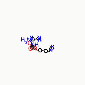 CN1CCN(Cc2ccc(-c3ccc(CO[C@@H]4COC[C@H]4NC(=O)c4cc(-c5cnn(C)c5)cnc4N)cc3)cc2)CC1